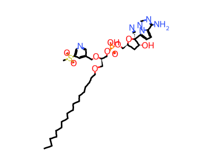 CCCCCCCCCCCCCCCCCCOC[C@H](COP(=O)(O)OC[C@@H]1C[C@@H](O)[C@](C#N)(c2ccc3c(N)ncnn23)O1)OCc1cncc(S(C)(=O)=O)c1